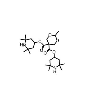 CC1OCC(C(=O)OC2CC(C)(C)NC(C)(C)C2)(C(=O)OC2CC(C)(C)NC(C)(C)C2)CO1